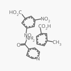 Cc1cccc(C(=O)O)c1.NC(=O)c1ccncc1.O=C(O)c1cc([N+](=O)[O-])cc([N+](=O)[O-])c1